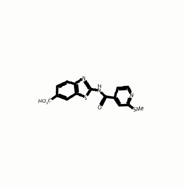 CSc1cc(C(=O)Nc2nc3ccc(C(=O)O)cc3s2)ccn1